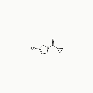 CC1=CCN(C(=O)C2CC2)C1